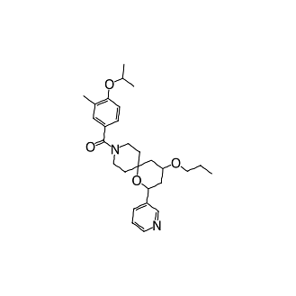 CCCOC1CC(c2cccnc2)OC2(CCN(C(=O)c3ccc(OC(C)C)c(C)c3)CC2)C1